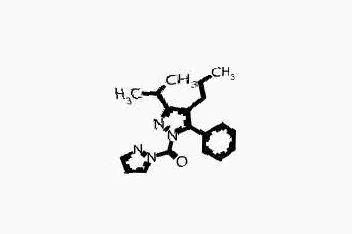 CCCc1c(C(C)C)nn(C(=O)n2cccn2)c1-c1ccccc1